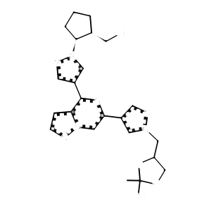 CC[C@@H]1CCC[C@@H]1n1cc(-c2nc(-c3cnn(CC4COC(C)(C)O4)c3)cn3nccc23)cn1